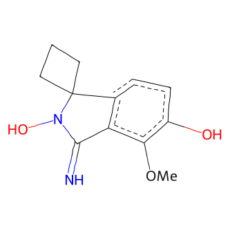 COc1c(O)ccc2c1C(=N)N(O)C21CCC1